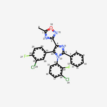 Cc1nc(-c2nc(-c3ccccc3)n(-c3cccc(Cl)c3F)c2-c2ccc(F)c(Cl)c2)no1